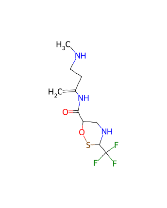 C=C(CCNC)NC(=O)C1CNC(C(F)(F)F)SO1